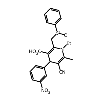 CCN1C(C)=C(C#N)C(c2cccc([N+](=O)[O-])c2)C(C(=O)O)=C1C[S+]([O-])c1ccccc1